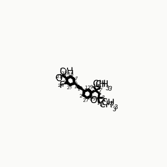 CCC1(CC)CC(CC)(CC)c2cc(C#Cc3ccc(C(=O)O)c(F)c3)ccc2O1